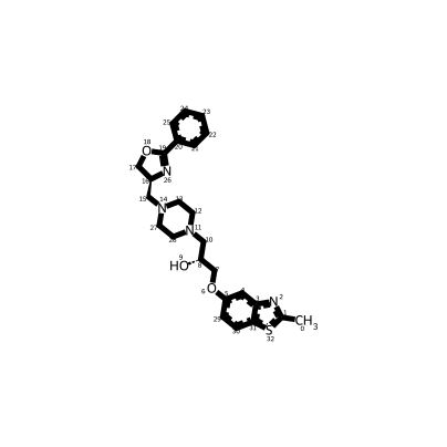 Cc1nc2cc(OC[C@H](O)CN3CCN(C[C@H]4COC(c5ccccc5)=N4)CC3)ccc2s1